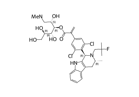 C=C(C(=O)O[C@@H]([C@H](O)[C@H](O)CO)[C@@H](O)CNC)c1cc(Cl)c([C@@H]2c3[nH]c4ccccc4c3C[C@@H](C)N2CC(C)(C)F)c(Cl)c1